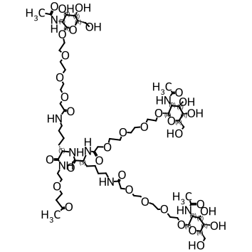 CC(=O)CCOCCNC(=O)[C@H](CCCCNC(=O)COCCOCCOCCO[C@@H]1O[C@H](CO)[C@H](O)[C@H](O)[C@H]1NC(C)=O)NC(=O)[C@H](CCCCNC(=O)COCCOCCOCCO[C@@H]1O[C@H](CO)[C@H](O)[C@H](O)[C@H]1NC(C)=O)NC(=O)COCCOCCOCCO[C@@H]1O[C@H](CO)[C@H](O)[C@H](O)[C@H]1NC(C)=O